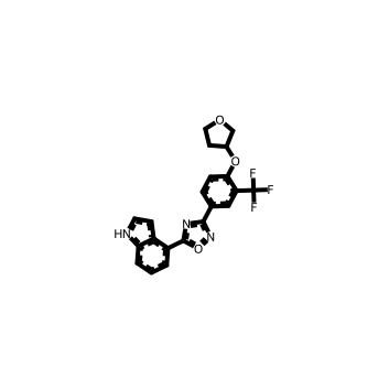 FC(F)(F)c1cc(-c2noc(-c3cccc4[nH]ccc34)n2)ccc1OC1CCOC1